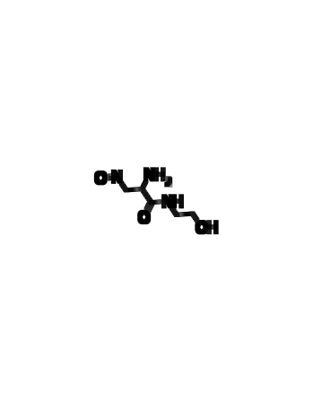 NC(CN=O)C(=O)NCCO